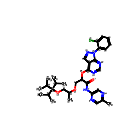 Cc1cnc(NC(=O)C(COC(C)CO[Si](C(C)C)(C(C)C)C(C)C)Oc2ncnc3c2cnn3-c2ccccc2Cl)cn1